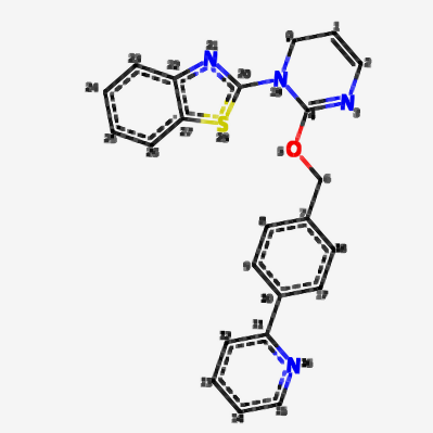 [CH]1C=CN=C(OCc2ccc(-c3ccccn3)cc2)N1c1nc2ccccc2s1